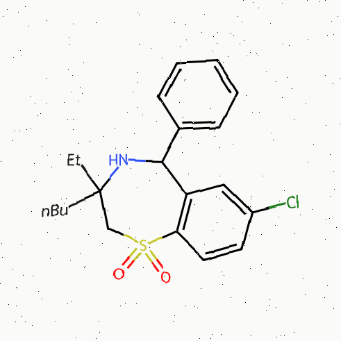 CCCCC1(CC)CS(=O)(=O)c2ccc(Cl)cc2C(c2ccccc2)N1